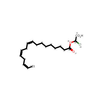 CC/C=C\C/C=C\C/C=C\CCCCCCCC(=O)OC(Cl)C(=O)O